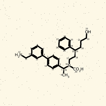 C[C@@H](c1ccc(-c2cccc(CN)c2)cc1)N(CC[C@H](CCCO)c1ccccc1)C(=O)O